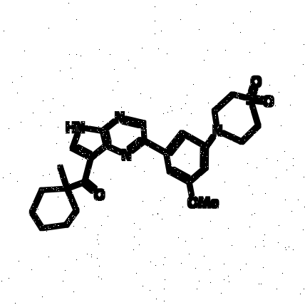 COc1cc(-c2cnc3[nH]cc(C(=O)C4(C)CCCCC4)c3n2)cc(N2CCS(=O)(=O)CC2)c1